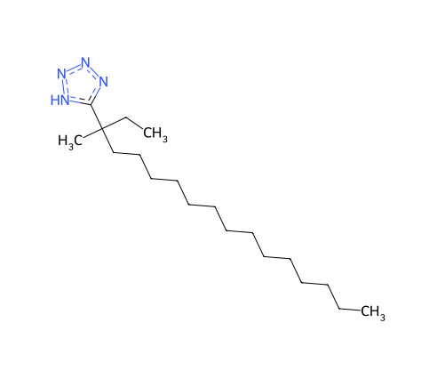 CCCCCCCCCCCCCCC(C)(CC)c1nnn[nH]1